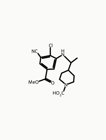 COC(=O)c1cc(C#N)c(Cl)c(NC(C)C2CCN(C(=O)O)CC2)c1